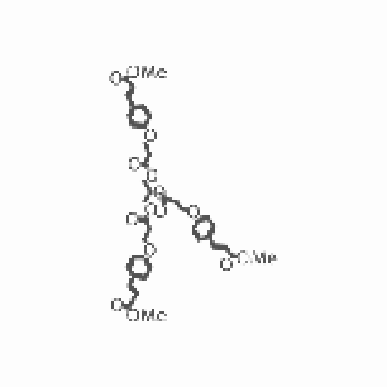 COC(=O)/C=C/c1ccc(OCCC(=O)OCC(COC(=O)CCOc2ccc(/C=C/C(=O)OC)cc2)OC(=O)CCOc2ccc(/C=C/C(=O)OC)cc2)cc1